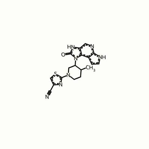 CC1CCN(c2nc(C#N)cs2)CC1n1c(=O)[nH]c2cnc3[nH]ccc3c21